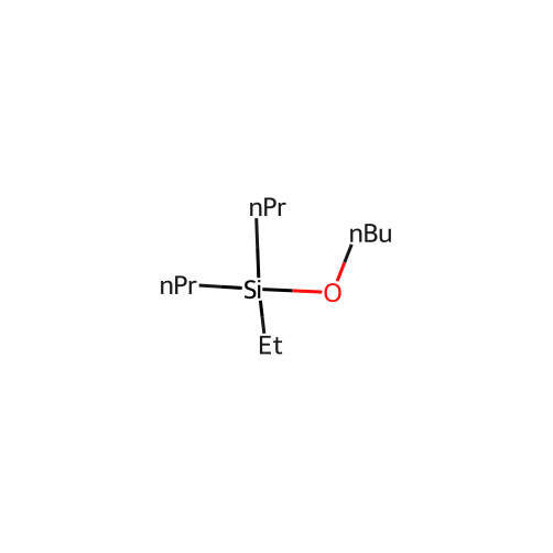 CCCCO[Si](CC)(CCC)CCC